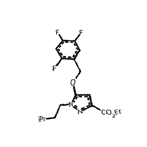 CCOC(=O)c1cc(OCc2cc(F)c(F)cc2F)n(CCC(C)C)n1